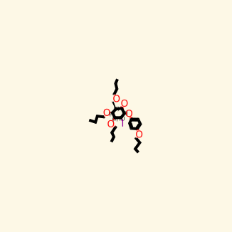 CCCCOC[C@H]1C(=O)[C@@H](Oc2ccc(OCCCC)cc2)[C@H](I)[C@@H](OCCCC)[C@@H]1OCCCC